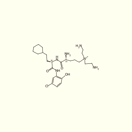 C[N+](CCN)(CCN)CCC[C@H](N)C(=O)N[C@H](CCC1CCCCC1)C(=O)Nc1cc(Cl)ccc1O